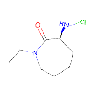 CCN1CCCC[C@H](NCl)C1=O